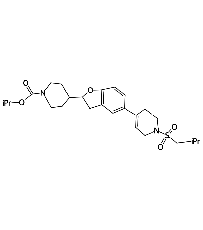 CC(C)CS(=O)(=O)N1CC=C(c2ccc3c(c2)CC(C2CCN(C(=O)OC(C)C)CC2)O3)CC1